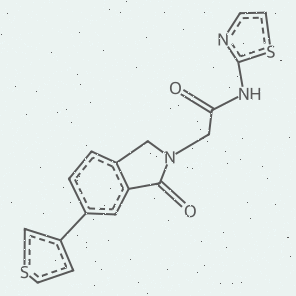 O=C(CN1Cc2ccc(-c3ccsc3)cc2C1=O)Nc1nccs1